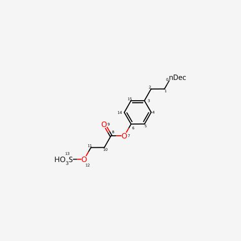 CCCCCCCCCCCCc1ccc(OC(=O)CCOS(=O)(=O)O)cc1